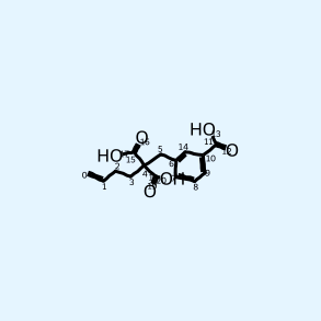 C=CCCC(Cc1cccc(C(=O)O)c1)(C(=O)O)C(=O)O